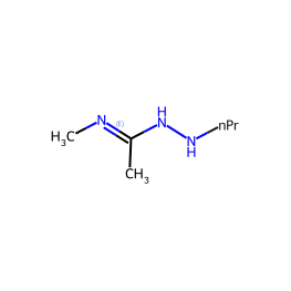 CCCNN/C(C)=N/C